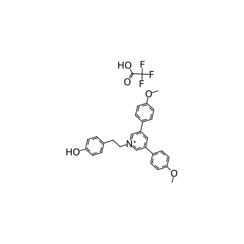 COc1ccc(-c2cc(-c3ccc(OC)cc3)c[n+](CCc3ccc(O)cc3)c2)cc1.O=C(O)C(F)(F)F